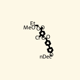 CCCCCCCCCCOc1ccc(-c2ccc(C(=O)Oc3ccc(C(=O)OCC(CC)OC)cc3Cl)cc2)cc1